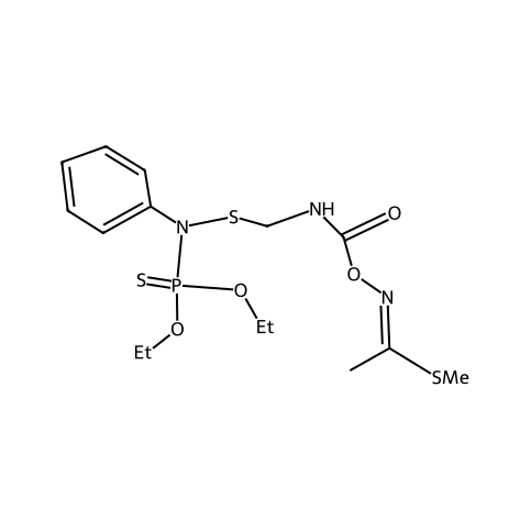 CCOP(=S)(OCC)N(SCNC(=O)ON=C(C)SC)c1ccccc1